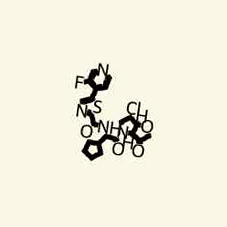 O=C(N[C@H](C(=O)N1C[C@H](Cl)[C@H]2OCC(=O)[C@H]21)C1CCCC1)c1ncc(-c2ccncc2F)s1